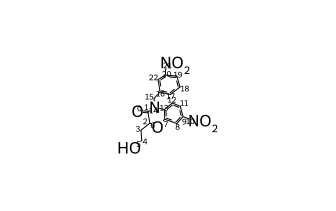 O=C1C(CCO)Oc2cc([N+](=O)[O-])ccc2N1Cc1cccc([N+](=O)[O-])c1